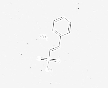 O=S(=O)(O)C=Cc1ccccc1.[AlH3]